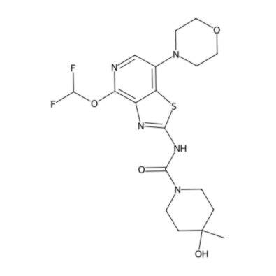 CC1(O)CCN(C(=O)Nc2nc3c(OC(F)F)ncc(N4CCOCC4)c3s2)CC1